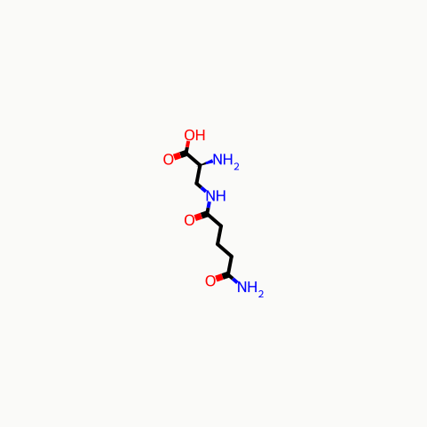 NC(=O)CCCC(=O)NC[C@H](N)C(=O)O